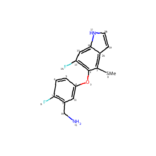 CSc1c(Oc2ccc(F)c(CN)c2)c(F)cc2[nH]ccc12